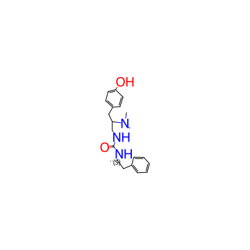 C[C@@H](Cc1ccccc1)NC(=O)NCC(Cc1ccc(O)cc1)N(C)C